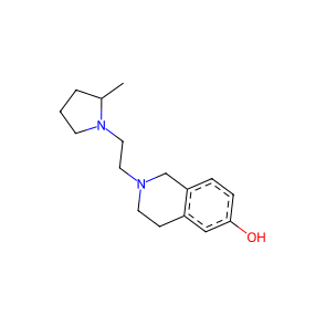 CC1CCCN1CCN1CCc2cc(O)ccc2C1